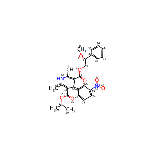 COC(COC(=O)C1=C(C)NC(C)=C(C(=O)OC(C)C)C1c1cccc([N+](=O)[O-])c1)c1ccccc1